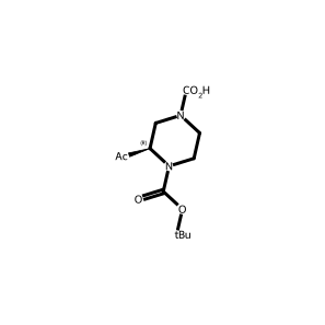 CC(=O)[C@H]1CN(C(=O)O)CCN1C(=O)OC(C)(C)C